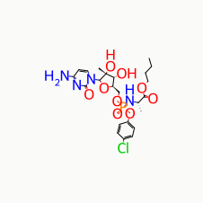 CCCCOC(=O)[C@H](C)NP(=O)(OC[C@H]1OC(n2ccc(N)nc2=O)[C@](C)(O)[C@@H]1O)Oc1ccc(Cl)cc1